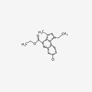 CCOC(=O)c1nc2cc(Cl)ccc2c2c1c(C)cn2CC